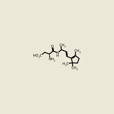 CC1=C(/C=C/C(C)NC(=O)[C@@H](N)CC(=O)O)C(C)(C)CC1